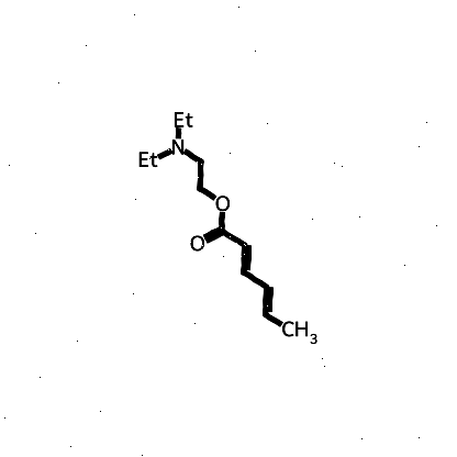 C/C=C/C=C/C(=O)OCCN(CC)CC